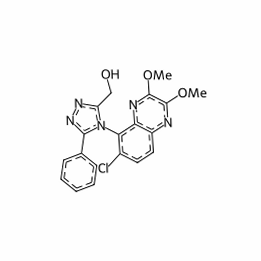 COc1nc2ccc(Cl)c(-n3c(CO)nnc3-c3ccccc3)c2nc1OC